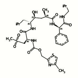 Cc1csc(COC(=O)N[C@@H](CS(C)(=O)=O)C(=O)N[C@H](CC(C)C)[C@@H](O)C[C@@H](C)C(=O)N[C@@H](C(=O)NCC(C)C)c2ccccc2)n1